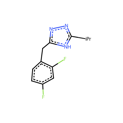 CC(C)c1nnc(Cc2ccc(F)cc2F)[nH]1